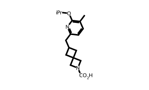 Cc1ccc(CC2CC3(C2)CN(C(=O)O)C3)nc1OC(C)C